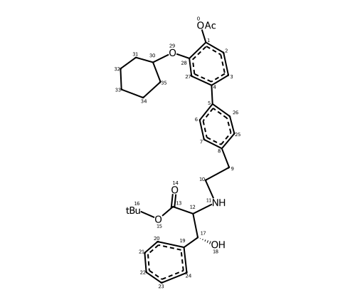 CC(=O)Oc1ccc(-c2ccc(CCNC(C(=O)OC(C)(C)C)[C@H](O)c3ccccc3)cc2)cc1OC1CCCCC1